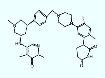 Cc1c(N[C@@H]2C[C@H](c3ccc(CN4CCN(c5cc(C6CCC(=O)NC6=O)c(F)cc5F)CC4)cc3)CN(C)C2)cnn(C)c1=O